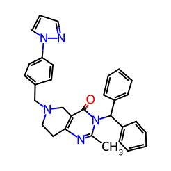 Cc1nc2c(c(=O)n1C(c1ccccc1)c1ccccc1)CN(Cc1ccc(-n3cccn3)cc1)CC2